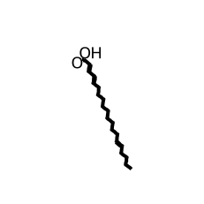 CCCCC=CCCCCCCCCCC=CC=CC(=O)O